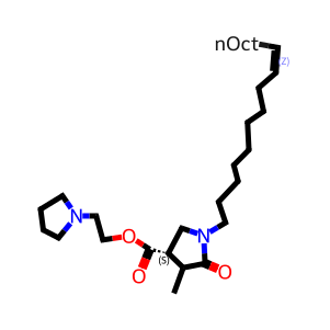 CCCCCCCC/C=C\CCCCCCCCN1C[C@@H](C(=O)OCCN2CCCC2)C(C)C1=O